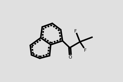 CC(F)(F)C(=O)c1cccc2ccccc12